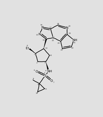 CC[C@@H]1C[C@H](NS(=O)(=O)C2(C)CC2)C[C@@H]1c1nnc2cnc3[nH]ccc3n12